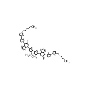 CCCCCCc1ccc(-c2ccc(-c3c(F)cc(-c4cc5c(s4)-c4sc(-c6cc(F)c(-c7ccc(-c8ccc(CCCCCC)s8)s7)c7nsnc67)cc4C5(C)C)c4nsnc34)s2)s1